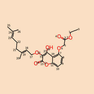 CCOC(=O)COc1cccc2oc(=O)c(OC/C=C(\C)CCC=C(C)C)c(O)c12